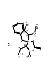 C=CC[N+](Cc1ccccc1)(C(CO)OCC)C(CO)OCC.[Cl-]